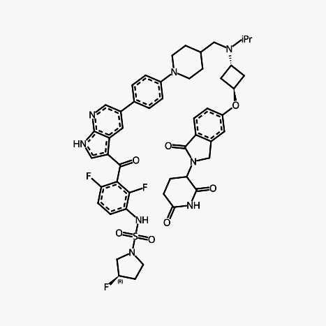 CC(C)N(CC1CCN(c2ccc(-c3cnc4[nH]cc(C(=O)c5c(F)ccc(NS(=O)(=O)N6CC[C@@H](F)C6)c5F)c4c3)cc2)CC1)[C@H]1C[C@H](Oc2ccc3c(c2)CN(C2CCC(=O)NC2=O)C3=O)C1